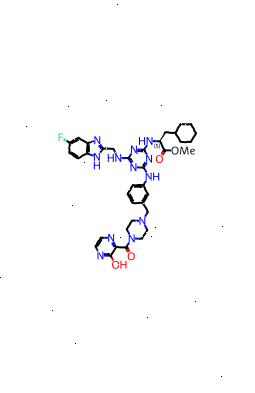 COC(=O)[C@H](CC1CCCCC1)Nc1nc(NCc2nc3cc(F)ccc3[nH]2)nc(Nc2cccc(CN3CCN(C(=O)c4nccnc4O)CC3)c2)n1